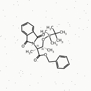 C[C@@H](O[Si](C)(C)C(C)(C)C)[C@@](C)(C(=O)OCc1ccccc1)N1C(=O)c2ccccc2C1=O